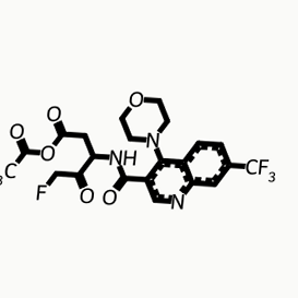 O=C(CC(NC(=O)c1cnc2cc(C(F)(F)F)ccc2c1N1CCOCC1)C(=O)CF)OC(=O)C(F)(F)F